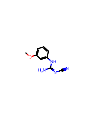 COc1cccc(N/C(N)=N\C#N)c1